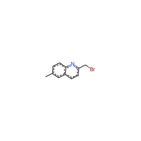 Cc1ccc2nc(CBr)ccc2c1